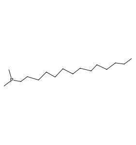 CCCCCCCCCCCCCCP(C)C